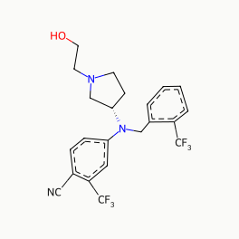 N#Cc1ccc(N(Cc2ccccc2C(F)(F)F)[C@H]2CCN(CCO)C2)cc1C(F)(F)F